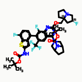 CC(C)(C)OC(=O)Nc1cc2c(-c3c(C(F)(F)F)cc4c(N5CC6CCC(C5)N6C(=O)OC(C)(C)C)nc(OC[C@@]56CCCN5C[C@H](F)C6)nc4c3F)ccc(F)c2s1